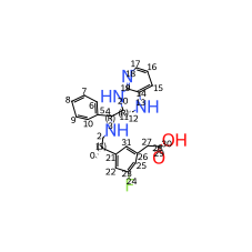 C[C@H](CN[C@H](c1ccccc1)[C@H]1CNc2cccnc2N1)c1cc(F)cc(CC(=O)O)c1